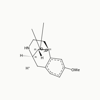 COc1ccc2c(c1)[C@]13CCN[C@H](C2)[C@@H]1OC(C)(C)OC3.[H+]